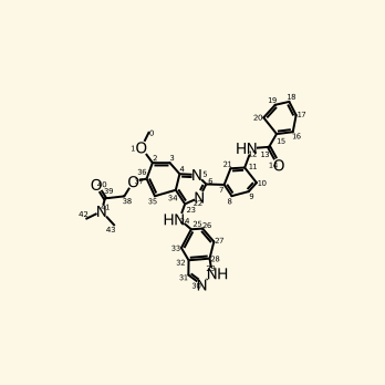 COc1cc2nc(-c3cccc(NC(=O)c4ccccc4)c3)nc(Nc3ccc4[nH]ncc4c3)c2cc1OCC(=O)N(C)C